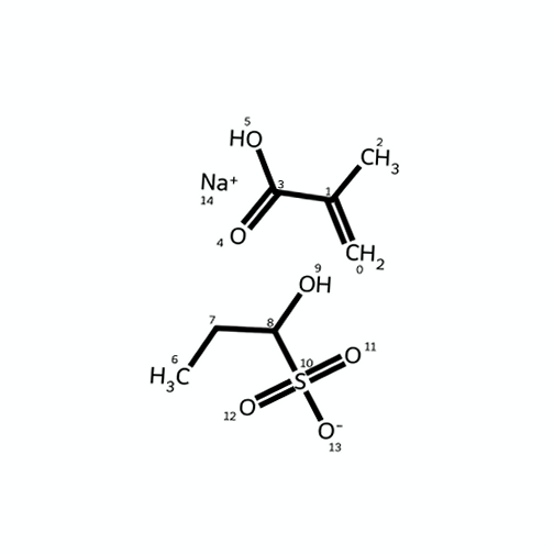 C=C(C)C(=O)O.CCC(O)S(=O)(=O)[O-].[Na+]